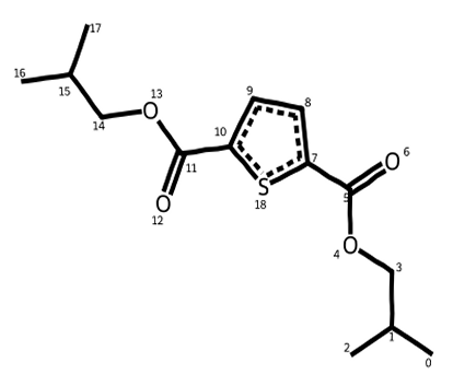 CC(C)COC(=O)c1ccc(C(=O)OCC(C)C)s1